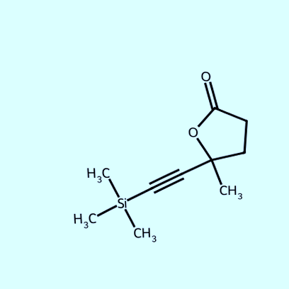 CC1(C#C[Si](C)(C)C)CCC(=O)O1